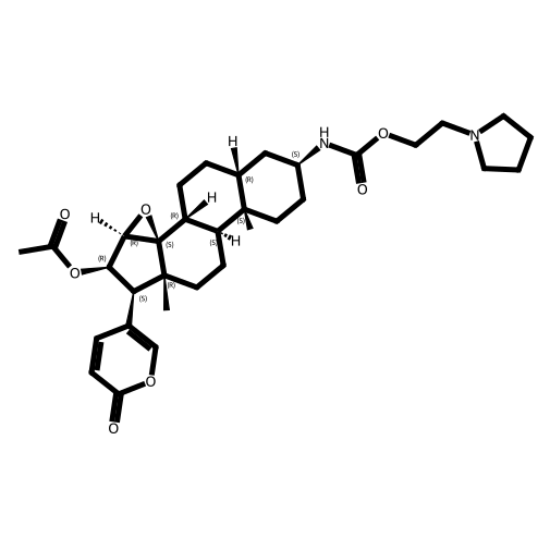 CC(=O)O[C@H]1[C@H]2O[C@]23[C@@H]2CC[C@@H]4C[C@@H](NC(=O)OCCN5CCCC5)CC[C@]4(C)[C@H]2CC[C@]3(C)[C@H]1c1ccc(=O)oc1